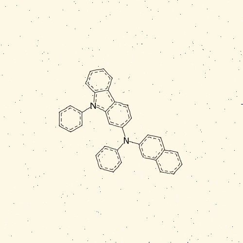 c1ccc(N(c2ccc3ccccc3c2)c2ccc3c4ccccc4n(-c4ccccc4)c3c2)cc1